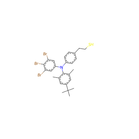 Cc1cc(C(C)(C)C)cc(C)c1N(c1ccc(CCS)cc1)c1cc(Br)c(Br)c(Br)c1